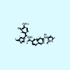 COc1ccc([C@H](NC(=O)c2ccc3cnc(Nc4ccnn4C)cc3c2)c2cnn(C)c2)cc1F